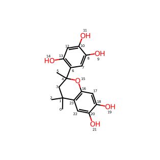 CC1(C)CC(C)(c2cc(O)c(O)cc2O)Oc2cc(O)c(O)cc21